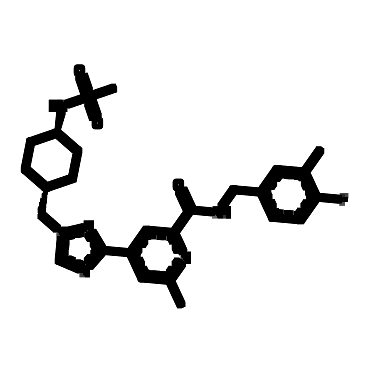 Cc1cc(-c2ncn(C[C@H]3CC[C@H](NS(C)(=O)=O)CC3)n2)cc(C(=O)NCc2ccc(F)c(C)c2)n1